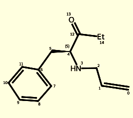 C=CCN[C@@H](Cc1ccccc1)C(=O)CC